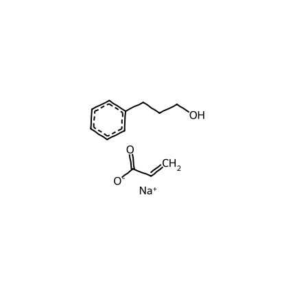 C=CC(=O)[O-].OCCCc1ccccc1.[Na+]